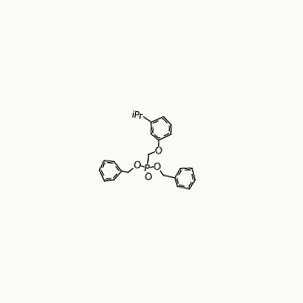 CC(C)c1cccc(OCP(=O)(OCc2ccccc2)OCc2ccccc2)c1